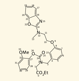 CCOC(=O)CN(Cc1cccc(OCCN(C)c2nc3ccccc3o2)c1)C(=O)Oc1ccccc1OC